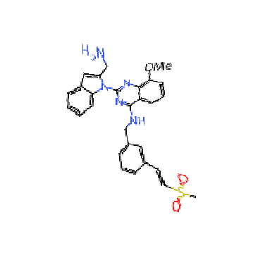 COc1cccc2c(NCc3cccc(C=CS(C)(=O)=O)c3)nc(-n3c(CN)cc4ccccc43)nc12